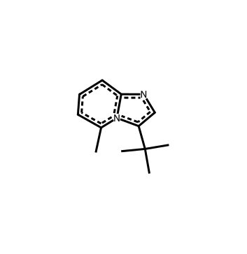 Cc1cccc2ncc(C(C)(C)C)n12